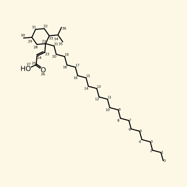 CCCCCCCCCCCCCCCCCCCCCCC1(C=CC(=O)O)CC(C)CCC1C(C)C